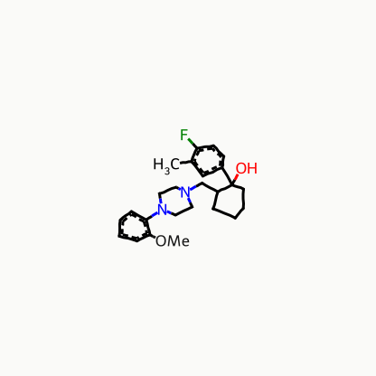 COc1ccccc1N1CCN(CC2CCCCC2(O)c2ccc(F)c(C)c2)CC1